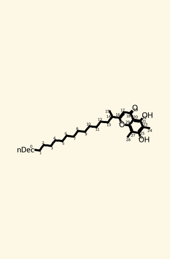 CCCCCCCCCCCCCCCCCCCCCCCC(C)c1cc(=O)c2c(O)c(C)c(O)c(C)c2o1